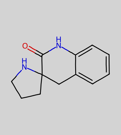 O=C1Nc2ccccc2CC12CCCN2